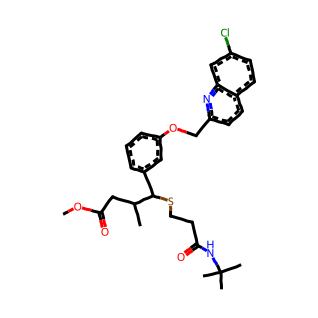 COC(=O)CC(C)C(SCCC(=O)NC(C)(C)C)c1cccc(OCc2ccc3ccc(Cl)cc3n2)c1